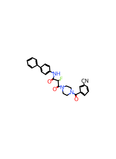 N#Cc1cccc(C(=O)N2CCN(C(=O)C(F)C(=O)Nc3ccc(-c4ccccc4)cc3)CC2)c1